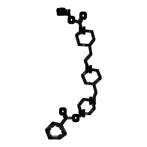 CC(C)(C)OC(=O)N1CCC(CCN2CCC(CN3CCN(OC(=O)c4ccccc4)CC3)CC2)CC1